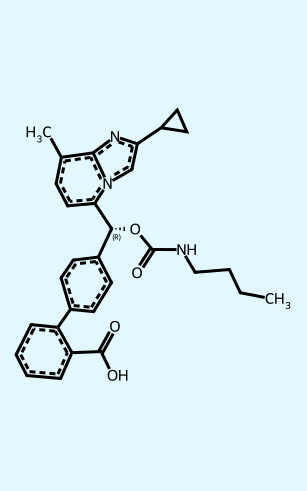 CCCCNC(=O)O[C@H](c1ccc(-c2ccccc2C(=O)O)cc1)c1ccc(C)c2nc(C3CC3)cn12